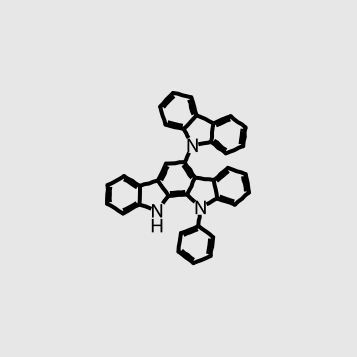 c1ccc(-n2c3ccccc3c3c(-n4c5ccccc5c5ccccc54)cc4c5ccccc5[nH]c4c32)cc1